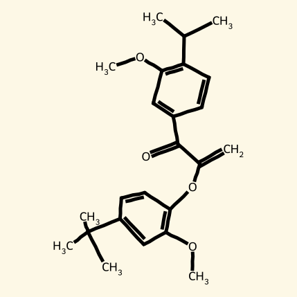 C=C(Oc1ccc(C(C)(C)C)cc1OC)C(=O)c1ccc(C(C)C)c(OC)c1